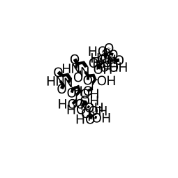 O=P(O)(O)O.O=P(O)(O)O.O=P(O)(O)O.O=P(O)(O)OP(=O)(O)O.O=c1ccn(C2C[C@H](O)[C@@H](CO)O2)c(=O)[nH]1.O=c1ccn(C2C[C@H](O)[C@@H](CO)O2)c(=O)[nH]1